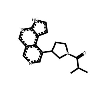 CC(C)C(=O)N1CCC(c2cncc3cnc4[nH]ccc4c23)C1